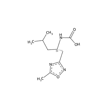 Cc1nc(C[C@H](CC(C)C)NC(=O)O)no1